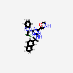 CC(C)(Nc1nc(C2CNCCO2)nc(-n2c(C(F)F)nc3ccccc32)n1)c1ccc2ccccc2c1